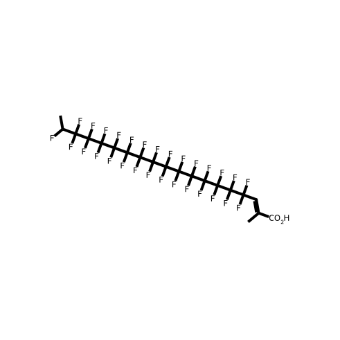 C/C(=C\C(F)(F)C(F)(F)C(F)(F)C(F)(F)C(F)(F)C(F)(F)C(F)(F)C(F)(F)C(F)(F)C(F)(F)C(F)(F)C(F)(F)C(F)(F)C(F)(F)C(C)F)C(=O)O